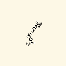 CC(=O)NC(Cc1ccc(OCC2CN(c3ccc(C(=N)N)cc3)C(=O)O2)cc1)C(=O)O